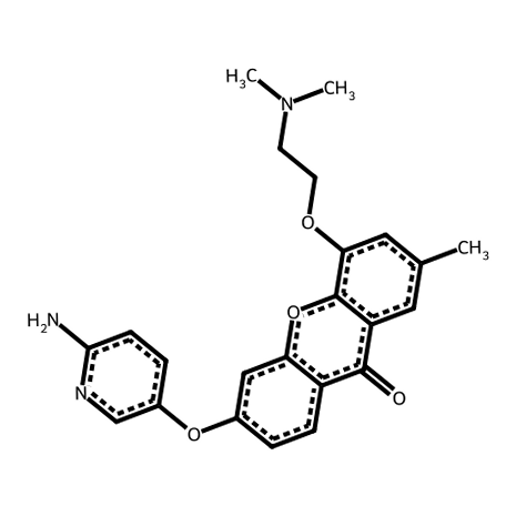 Cc1cc(OCCN(C)C)c2oc3cc(Oc4ccc(N)nc4)ccc3c(=O)c2c1